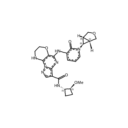 CO[C@H]1CC[C@@H]1NC(=O)c1cnn2c3c(c(Nc4cccn([C@H]5[C@@H]6COC[C@@H]65)c4=O)nc12)OCCN3